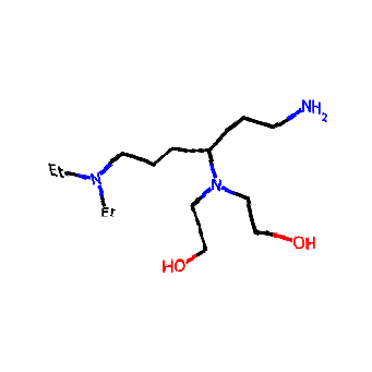 CCN(CC)CCCC(CCN)N(CCO)CCO